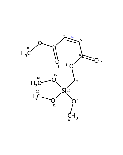 COC(=O)/C=C\C(=O)OC[Si](OC)(OC)OC